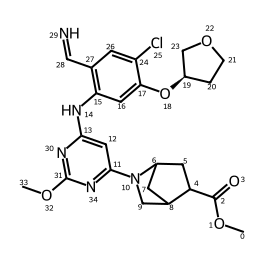 COC(=O)C1CC2CC1CN2c1cc(Nc2cc(O[C@@H]3CCOC3)c(Cl)cc2C=N)nc(OC)n1